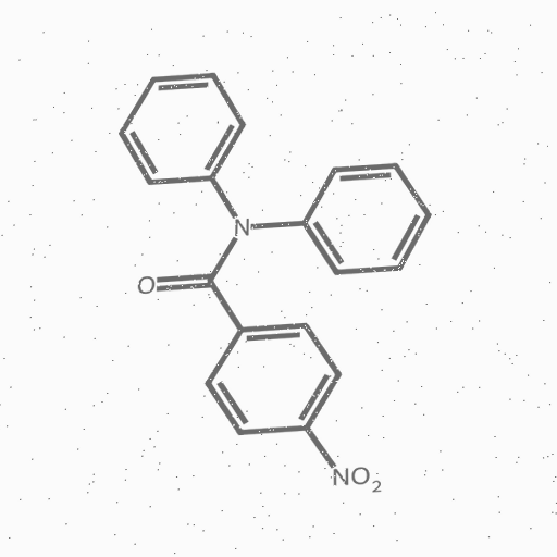 O=C(c1ccc([N+](=O)[O-])cc1)N(c1ccccc1)c1ccccc1